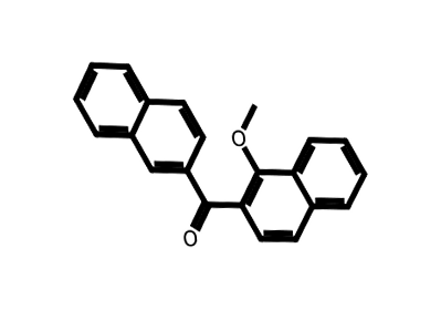 COc1c(C(=O)c2ccc3ccccc3c2)ccc2ccccc12